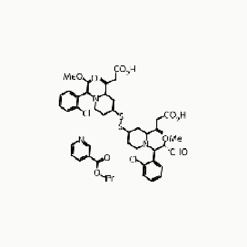 C=C(CC(=O)O)C1CC(SSC2CCN(C(c3ccccc3Cl)[C@@H](C=O)OC)C(C(=C)CC(=O)O)C2)CCN1C(C(=O)OC)c1ccccc1Cl.CC(C)OC(=O)c1cccnc1